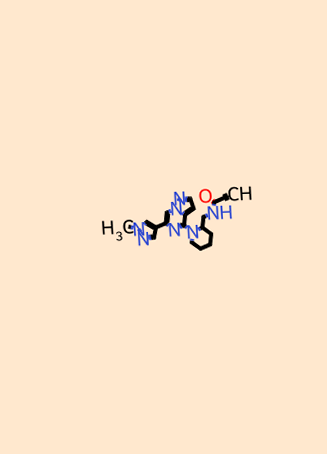 C#CC(=O)NCC1CCCCN1c1nc(-c2cnn(C)c2)cn2nccc12